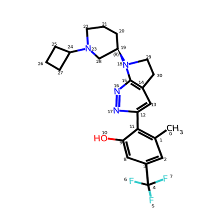 Cc1cc(C(F)(F)F)cc(O)c1-c1cc2c(nn1)N([C@@H]1CCCN(C3CCC3)C1)CC2